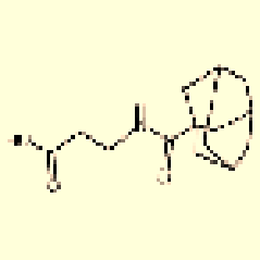 O=C(O)CCNC(=O)C12CC3CC(CC(C3)C1)C2